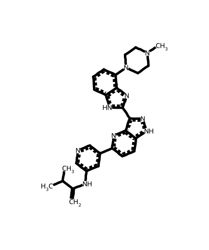 C=C(Nc1cncc(-c2ccc3[nH]nc(-c4nc5c(N6CCN(C)CC6)cccc5[nH]4)c3n2)c1)C(C)C